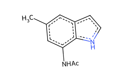 CC(=O)Nc1cc(C)cc2cc[nH]c12